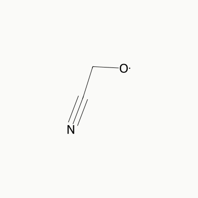 N#CC[O]